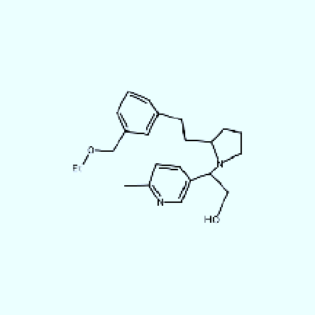 CCOCc1cccc(CCC2CCCN2C(CO)c2ccc(C)nc2)c1